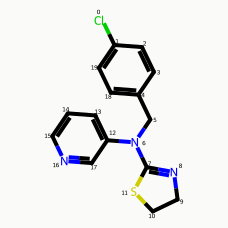 Clc1ccc(CN(C2=NCCS2)c2cccnc2)cc1